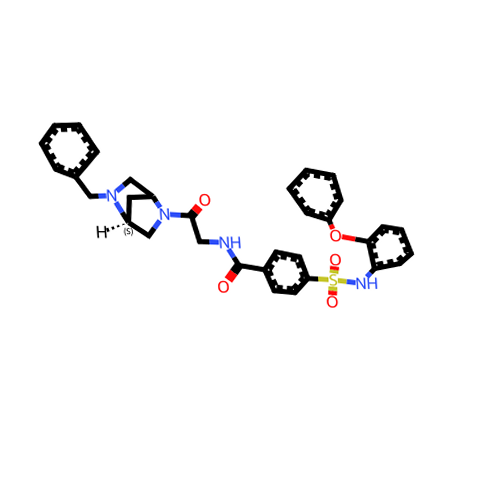 O=C(NCC(=O)N1C[C@@H]2CC1CN2Cc1ccccc1)c1ccc(S(=O)(=O)Nc2ccccc2Oc2ccccc2)cc1